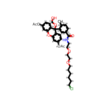 CC(=O)Oc1ccc2c(c1)Oc1cc(OC(C)=O)ccc1C2(OCO)c1cc(C(=O)NCCOCCOCCCCCCCl)ccc1C